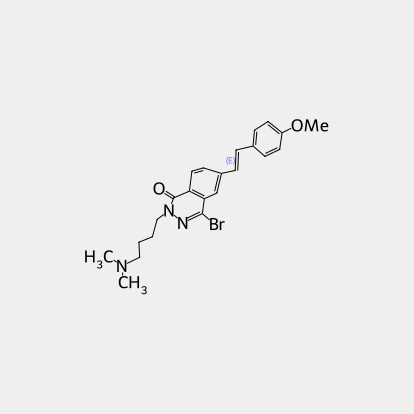 COc1ccc(/C=C/c2ccc3c(=O)n(CCCCN(C)C)nc(Br)c3c2)cc1